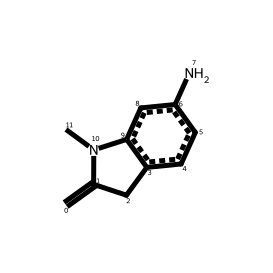 C=C1Cc2ccc(N)cc2N1C